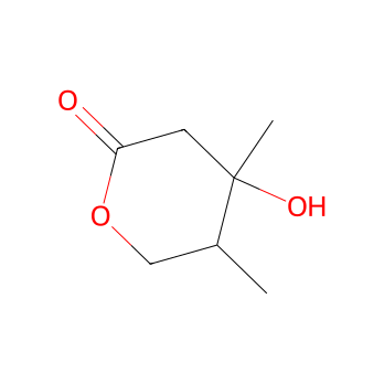 CC1COC(=O)CC1(C)O